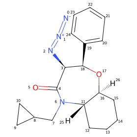 [N-]=[N+]=N[C@@H]1C(=O)N(CC2CC2)[C@H]2CCCC[C@@H]2O[C@@H]1c1ccccc1